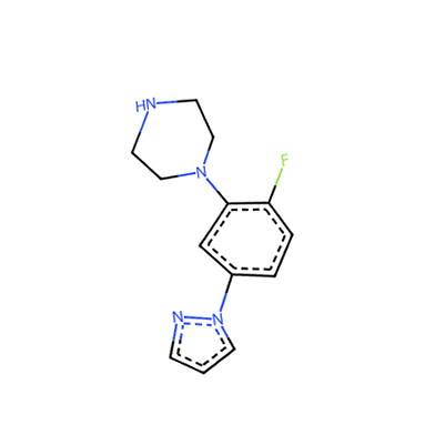 Fc1ccc(-n2cccn2)cc1N1CCNCC1